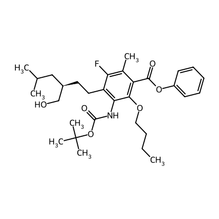 CCCCOc1c(NC(=O)OC(C)(C)C)c(CC[C@@H](CO)CC(C)C)c(F)c(C)c1C(=O)Oc1ccccc1